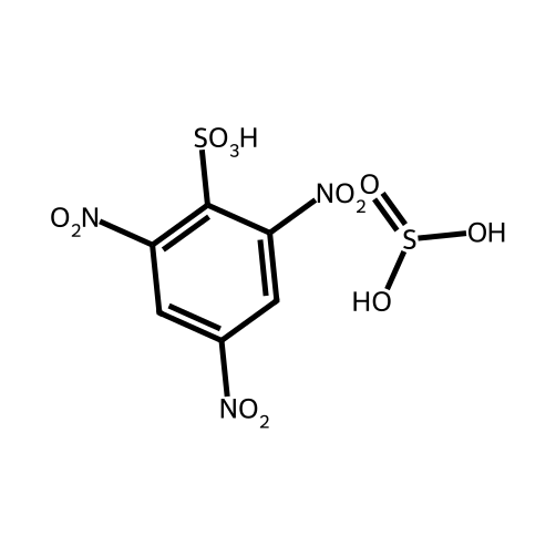 O=S(O)O.O=[N+]([O-])c1cc([N+](=O)[O-])c(S(=O)(=O)O)c([N+](=O)[O-])c1